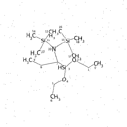 CCO[SiH](OCC)C(CC)N([Si](C)(C)C)[Si](C)(C)C